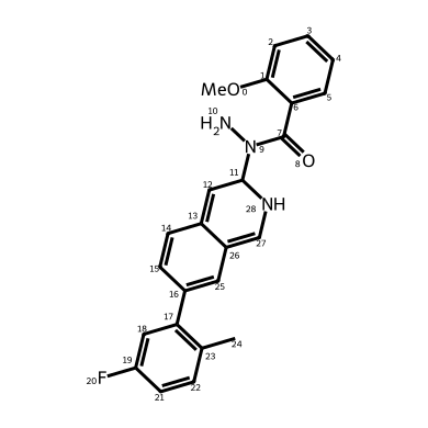 COc1ccccc1C(=O)N(N)C1C=c2ccc(-c3cc(F)ccc3C)cc2=CN1